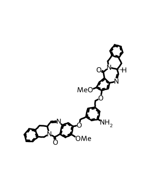 COc1cc2c(cc1OCc1cc(N)cc(COc3cc4c(cc3OC)C(=O)N3Cc5ccccc5C[C@H]3C=N4)c1)N=CC1Cc3ccccc3CN1C2=O